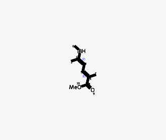 CB/C(C)=C/C=C(\C)C(=O)OC